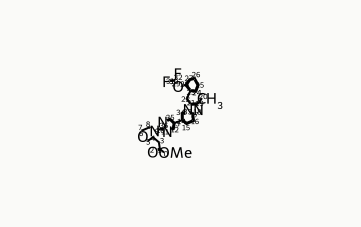 COC(=O)CC1COCCN1c1ncc(-c2ccc3nc(C)c(Cc4ccccc4OC(F)F)n3c2)cn1